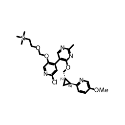 COc1ccc([C@H]2C[C@@H]2COc2nc(C)ncc2-c2cc(Cl)ncc2OCOCC[Si](C)(C)C)nc1